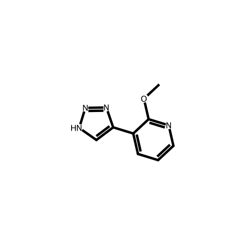 COc1ncccc1-c1c[nH]nn1